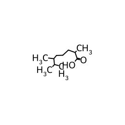 CC(CCCC(C)C(C)C)C(=O)O